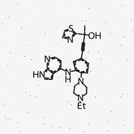 CCN1CCN(c2ccc(C#CC(C)(O)c3nccs3)cc2Nc2ccnc3[nH]ccc23)CC1